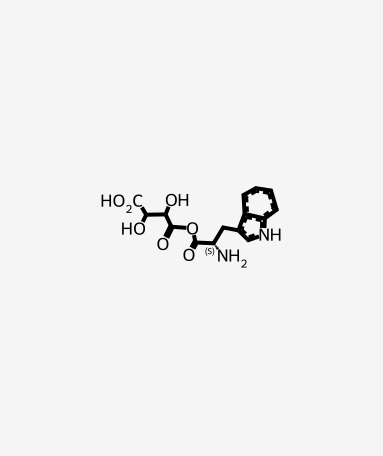 N[C@@H](Cc1c[nH]c2ccccc12)C(=O)OC(=O)C(O)C(O)C(=O)O